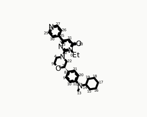 CCn1c(N2CCO[C@@H](c3ccc(N(C)C4CCCCC4)cc3)C2)nc(-c2ccncc2)cc1=O